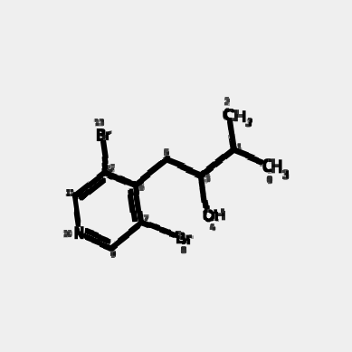 CC(C)C(O)Cc1c(Br)cncc1Br